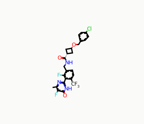 Cc1nc(-c2c(C(F)(F)F)ccc(CNC(=O)[C@H]3C[C@H](OCc4ccc(Cl)cc4)C3)c2F)[nH]c(=O)c1F